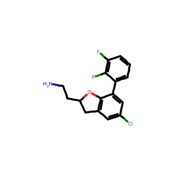 NCCC1Cc2cc(Cl)cc(-c3cccc(F)c3F)c2O1